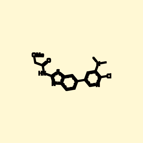 COCC(=O)Nc1nc2ccc(-c3cnc(Cl)c(N(C)C)c3)cc2s1